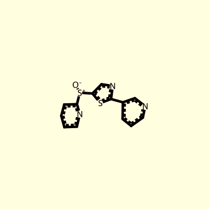 [O-][S+](c1ccccn1)c1cnc(-c2cccnc2)s1